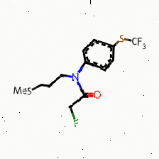 CSCCCN(C(=O)CF)c1ccc(SC(F)(F)F)cc1